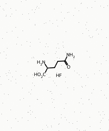 F.NC(=O)CCC(N)C(=O)O